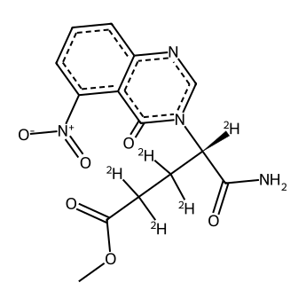 [2H]C([2H])(C(=O)OC)C([2H])([2H])[C@@]([2H])(C(N)=O)n1cnc2cccc([N+](=O)[O-])c2c1=O